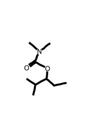 CCC(OC(=O)N(C)C)C(C)C